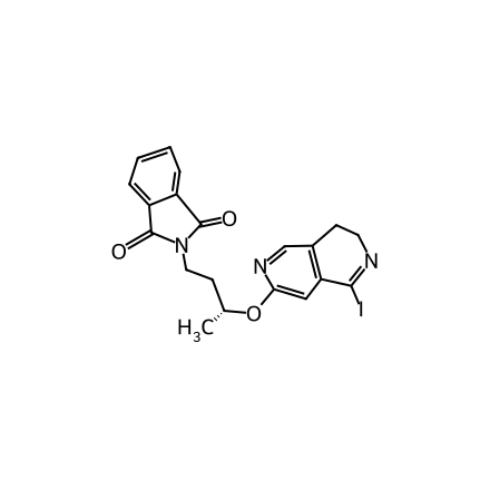 C[C@H](CCN1C(=O)c2ccccc2C1=O)Oc1cc2c(cn1)CCN=C2I